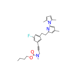 CCCCOC(=O)N(C)CC#Cc1cc(F)cc(CCc2cc(C)cc(-n3c(C)ccc3C)n2)c1